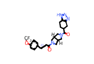 O=C(/C=C/c1ccc(OC(F)(F)F)cc1)N1C[C@@H]2CN(C(=O)C3CCc4[nH]nnc4C3)C[C@@H]2C1